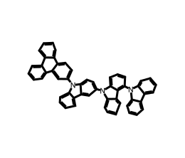 c1ccc2c(c1)c1ccccc1c1cc(-n3c4ccccc4c4cc(-n5c6ccccc6c6c(-n7c8ccccc8c8ccccc87)cccc65)ccc43)ccc21